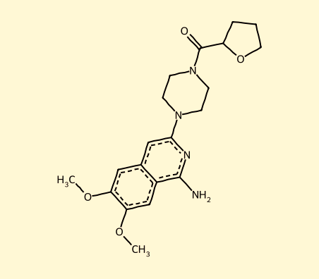 COc1cc2cc(N3CCN(C(=O)C4CCCO4)CC3)nc(N)c2cc1OC